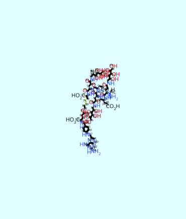 CC(=O)N(N)[C@@H](CCC(=O)NC[C@H](O)[C@@H](O)[C@H](O)[C@H](O)CO)C(=O)N[C@@H](CCC(=O)O)C(=O)N[C@@H](CCC(=O)NC[C@H](O)[C@@H](O)[C@H](O)[C@H](O)CO)C(=O)N[C@@H](CCC(=O)O)C(=O)N[C@@H](CCC(=O)NC[C@H](N=O)[C@@H](O)[C@H](O)[C@H](O)CO)C(=O)N[C@@H](CSSCCOC(=O)CC[C@H](NC(=O)c1ccc(NCc2cnc3nc(N)[nH]c(=N)c3n2)cc1)C(=O)O)C(=O)O